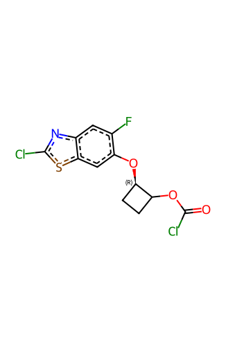 O=C(Cl)OC1CC[C@H]1Oc1cc2sc(Cl)nc2cc1F